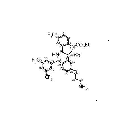 CCOC(=O)N1c2ccc(C(F)(F)F)cc2[C@@H](NC(c2cc(C(F)(F)F)cc(C(F)(F)F)c2)c2ncc(OCCN)cn2)C[C@H]1CC